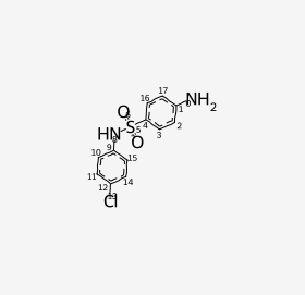 Nc1ccc(S(=O)(=O)Nc2ccc(Cl)cc2)cc1